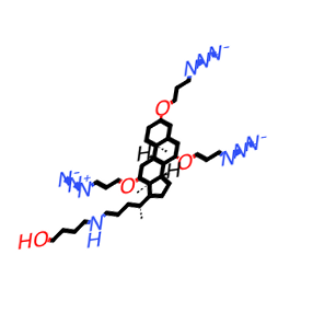 C[C@H](CCCNCCCCO)C1CC[C@H]2C3[C@H](OCCCN=[N+]=[N-])CC4C[C@H](OCCCN=[N+]=[N-])CC[C@]4(C)[C@H]3CC(OCCCN=[N+]=[N-])[C@]12C